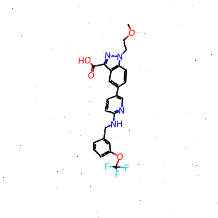 COCCn1nc(C(=O)O)c2cc(-c3ccc(NCc4cccc(OC(F)(F)F)c4)nc3)ccc21